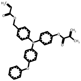 C=CC(=O)OCc1ccc(N(c2ccc(OC(=O)C(=C)C)cc2)c2ccc(Oc3ccccc3)cc2)cc1